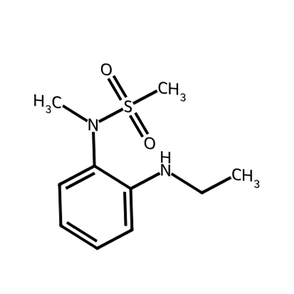 CCNc1ccccc1N(C)S(C)(=O)=O